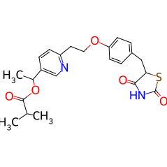 CC(C)C(=O)OC(C)c1ccc(CCOc2ccc(CC3SC(=O)NC3=O)cc2)nc1